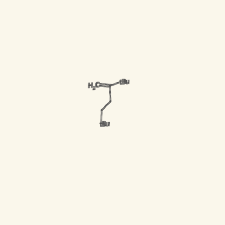 C=C(CCC(C)(C)C)C(C)(C)C